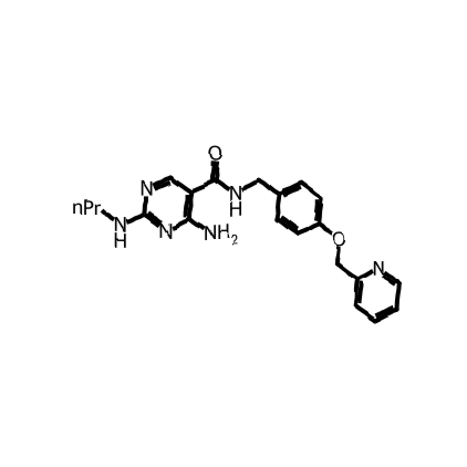 CCCNc1ncc(C(=O)NCc2ccc(OCc3ccccn3)cc2)c(N)n1